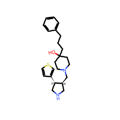 OC1(CCCc2ccccc2)CCN(C[C@H]2CNC[C@@H]2c2ccsc2)CC1